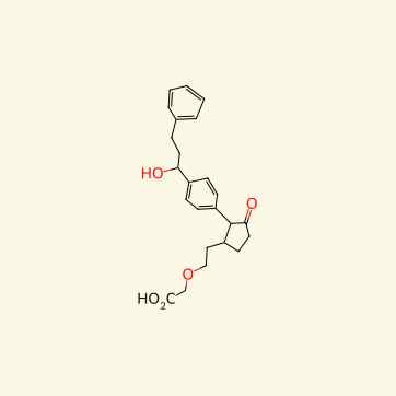 O=C(O)COCCC1CCC(=O)C1c1ccc(C(O)CCc2ccccc2)cc1